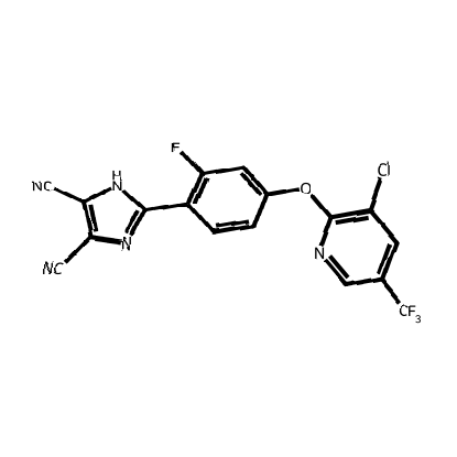 N#Cc1nc(-c2ccc(Oc3ncc(C(F)(F)F)cc3Cl)cc2F)[nH]c1C#N